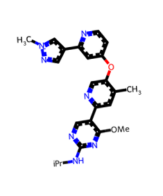 COc1nc(NC(C)C)ncc1-c1cc(C)c(Oc2ccnc(-c3cnn(C)c3)c2)cn1